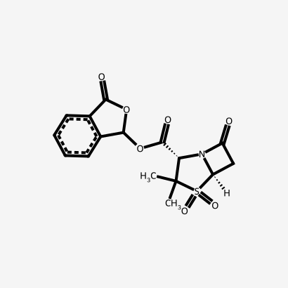 CC1(C)[C@H](C(=O)OC2OC(=O)c3ccccc32)N2C(=O)C[C@H]2S1(=O)=O